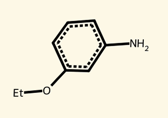 [CH2]COc1cccc(N)c1